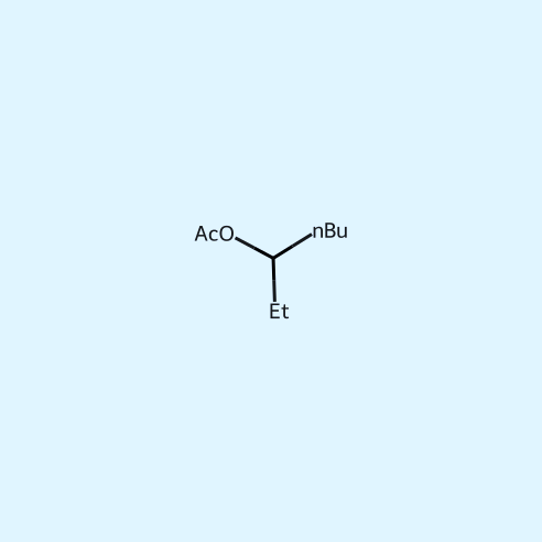 [CH2]C(=O)OC(CC)CCCC